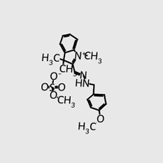 COS(=O)(=O)[O-].COc1ccc(CNN=CC2=[N+](C)c3ccccc3C2(C)C)cc1